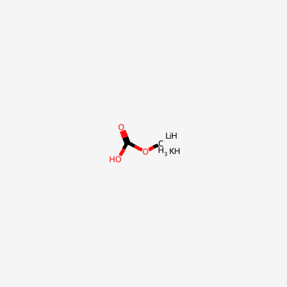 COC(=O)O.[KH].[LiH]